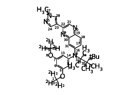 [2H]C([2H])([2H])Oc1cc(OC([2H])([2H])[2H])cc(N(c2ccc3ncc(-c4cnn(C)c4)nc3c2)C(C)(C)C(C)(C)C(C)(C)C)c1